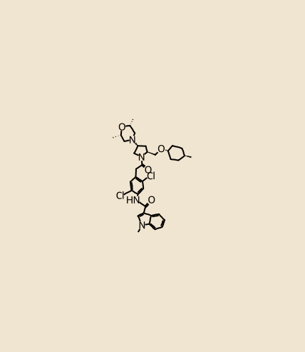 C[C@@H]1CN([C@H]2C[C@@H](CO[C@H]3CC[C@H](C)CC3)N(C(=O)Cc3cc(Cl)c(NC(=O)c4cn(C)c5ccccc45)cc3Cl)C2)C[C@H](C)O1